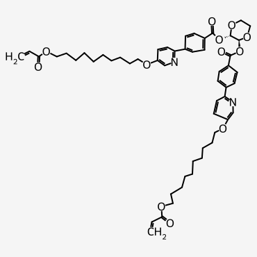 C=CC(=O)OCCCCCCCCCCOc1ccc(-c2ccc(C(=O)O[C@@H]3OCCO[C@H]3OC(=O)c3ccc(-c4ccc(OCCCCCCCCCCOC(=O)C=C)cn4)cc3)cc2)nc1